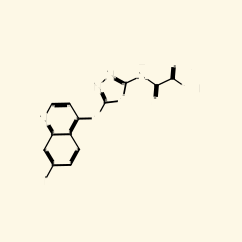 C=C(C)C(=O)Nc1nnc(Sc2ccnc3cc(Cl)ccc23)s1